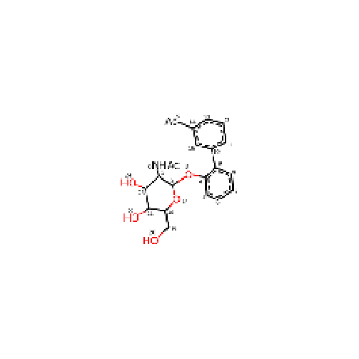 CC(=O)NC1C(Oc2ccccc2-c2cccc(C(C)=O)c2)OC(CO)C(O)C1O